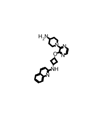 NC1CCN(c2nccnc2O[C@H]2C[C@@H](Nc3ccc4ccccc4n3)C2)CC1